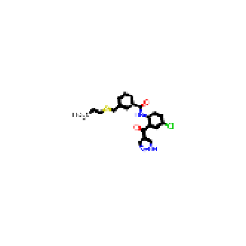 O=C(O)CCSCc1cccc(C(=O)Nc2ccc(Cl)cc2C(=O)c2cn[nH]c2)c1